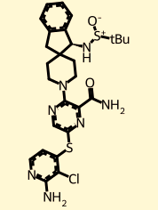 CC(C)(C)[S+]([O-])N[C@@H]1c2ccccc2CC12CCN(c1ncc(Sc3ccnc(N)c3Cl)nc1C(N)=O)CC2